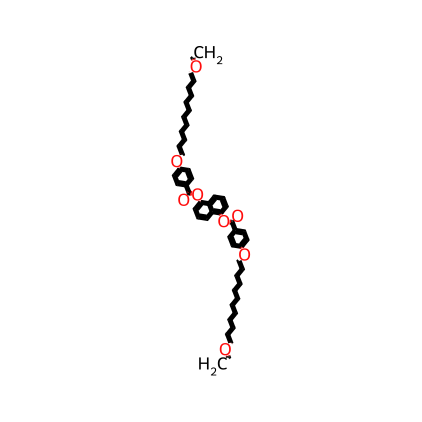 C=COCCCCCCCCCCCCOc1ccc(C(=O)Oc2cccc3c(OC(=O)c4ccc(OCCCCCCCCCCCCOC=C)cc4)cccc23)cc1